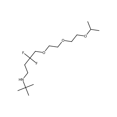 CC(C)OCCOCCOCC(F)(F)CCNC(C)(C)C